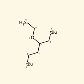 CC(C)(C)CCC(CC(C)(C)C)OC[SiH3]